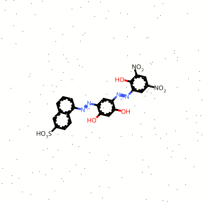 O=[N+]([O-])c1cc(/N=N/c2cc(/N=N/c3cccc4cc(S(=O)(=O)O)ccc34)c(O)cc2O)c(O)c([N+](=O)[O-])c1